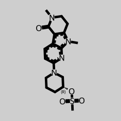 CN1CCc2c(c3ccc(N4CCC[C@@H](OS(C)(=O)=O)C4)nc3n2C)C1=O